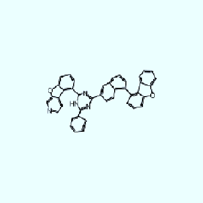 c1ccc(C2=NC(c3ccc4c(-c5cccc6oc7ccccc7c56)cccc4c3)=NC(c3cccc4oc5cnccc5c34)N2)cc1